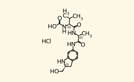 CC(C)[C@H](NC(=O)O)C(=O)N[C@@H](C)C(=O)Nc1ccc2c(c1)N[C@H](CO)C2.Cl